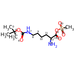 CC(C)(C)OC(=O)NCCCCC(N)C(=O)OS(C)(=O)=O